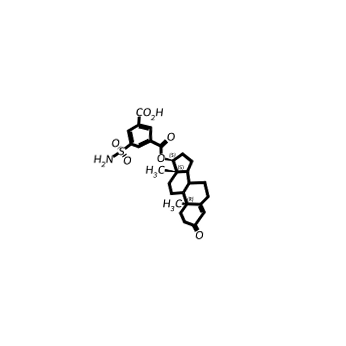 C[C@]12CCC(=O)C=C1CCC1C2CC[C@@]2(C)C1CC[C@@H]2OC(=O)c1cc(C(=O)O)cc(S(N)(=O)=O)c1